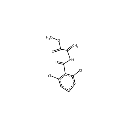 C=C(NC(=O)c1c(Cl)cccc1Cl)C(=O)OC